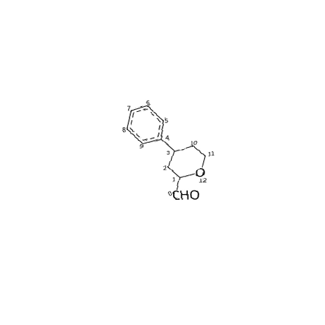 O=CC1CC(c2ccccc2)CCO1